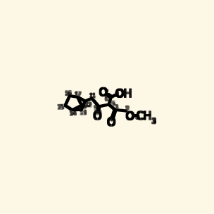 COCC(=O)C(C(=O)O)C(=O)CC1CC2CCC1C2